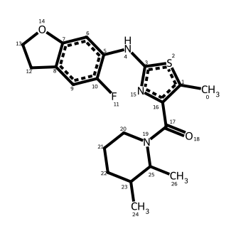 Cc1sc(Nc2cc3c(cc2F)CCO3)nc1C(=O)N1CCCC(C)C1C